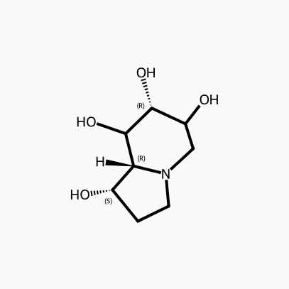 OC1CN2CC[C@H](O)[C@@H]2C(O)[C@@H]1O